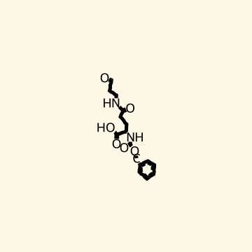 O=CCCNC(=O)CCC(NC(=O)OCc1ccccc1)C(=O)O